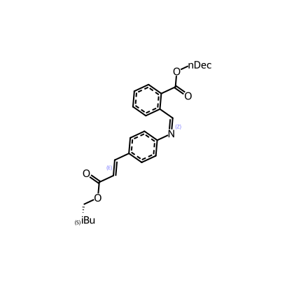 CCCCCCCCCCOC(=O)c1ccccc1/C=N\c1ccc(/C=C/C(=O)OC[C@@H](C)CC)cc1